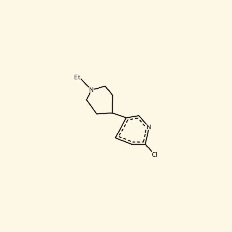 CCN1CCC(c2ccc(Cl)nc2)CC1